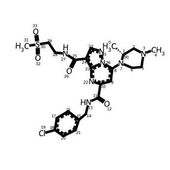 C[C@@H]1CN(C)CCN1c1cc(C(=O)NCc2ccc(Cl)cc2)nc2c(C(=O)NCCS(C)(=O)=O)cnn12